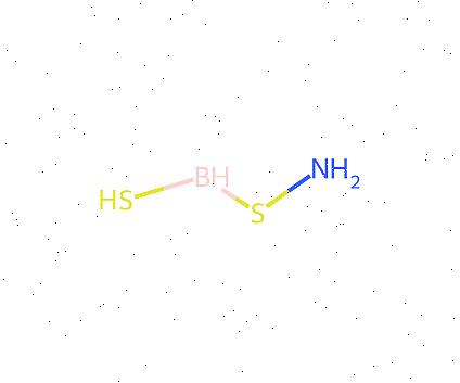 NSBS